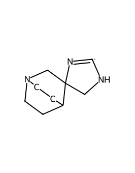 [C]1=NC2(CN1)CN1CCC2CC1